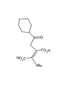 CCCC/C(C(=O)O)=C(/CC(=O)C1CCCCC1)C(=O)O